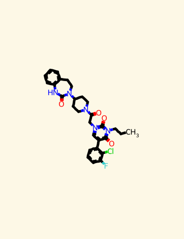 CCCn1c(=O)c(-c2cccc(F)c2Cl)cn(CC(=O)N2CCC(N3CCc4ccccc4NC3=O)CC2)c1=O